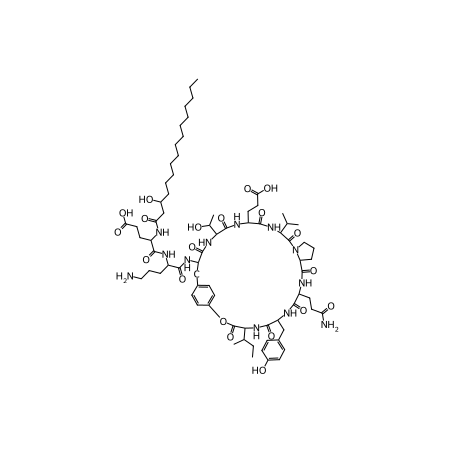 CCCCCCCCCCCCCC(O)CC(=O)NC(CCC(=O)O)C(=O)NC(CCCN)C(=O)NC1Cc2ccc(cc2)OC(=O)C(C(C)CC)NC(=O)C(Cc2ccc(O)cc2)NC(=O)C(CCC(N)=O)NC(=O)C2CCCN2C(=O)C(C(C)C)NC(=O)C(CCC(=O)O)NC(=O)C(C(C)O)NC1=O